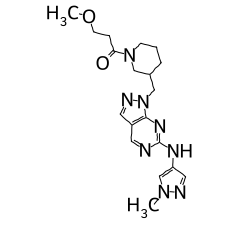 COCCC(=O)N1CCCC(Cn2ncc3cnc(Nc4cnn(C)c4)nc32)C1